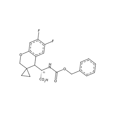 O=C(N[C@H](C(=O)O)C1c2cc(F)c(F)cc2OCC12CC2)OCc1ccccc1